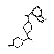 CN(c1ncnc2[nH]ccc12)C1CCN(C(=O)C2CCC(=O)CC2)CC1